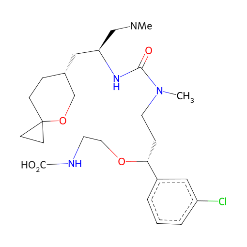 CNC[C@H](C[C@H]1CCC2(CC2)OC1)NC(=O)N(C)CC[C@@H](OCCNC(=O)O)c1cccc(Cl)c1